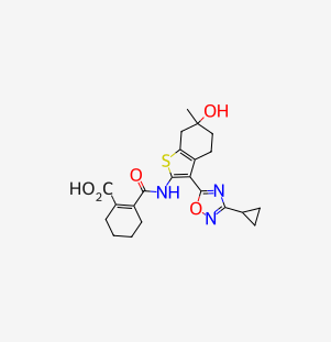 CC1(O)CCc2c(sc(NC(=O)C3=C(C(=O)O)CCCC3)c2-c2nc(C3CC3)no2)C1